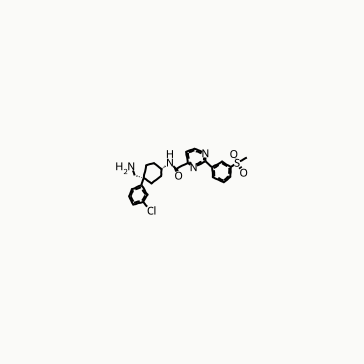 CS(=O)(=O)c1cccc(-c2nccc(C(=O)N[C@H]3CC[C@](CN)(c4cccc(Cl)c4)CC3)n2)c1